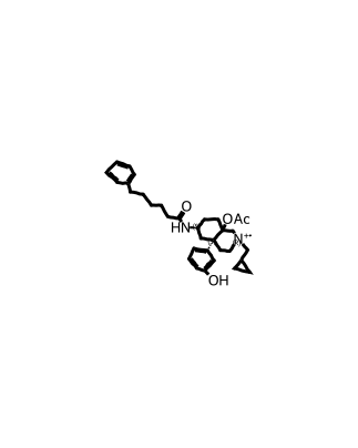 CC(=O)OC12CC[C@H](NC(=O)CCCCCc3ccccc3)C[C@]1(c1cccc(O)c1)CC[N@+](C)(CC1CC1)C2